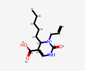 C=CCN1C(=O)NC=C(C(=O)O)C1CCCCC